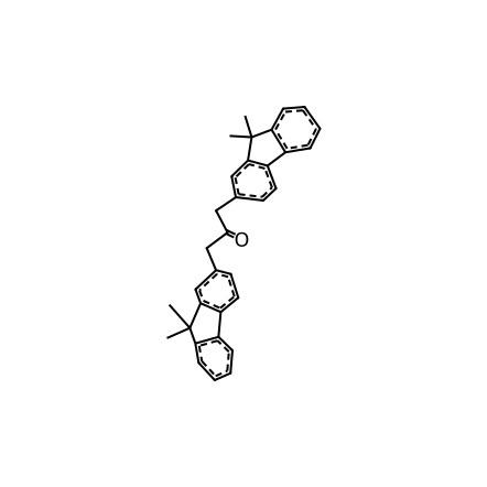 CC1(C)c2ccccc2-c2ccc(CC(=O)Cc3ccc4c(c3)C(C)(C)c3ccccc3-4)cc21